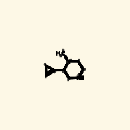 CN1CCNCC1C1=CC1